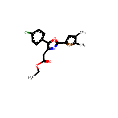 CCOC(=O)Cc1nc(-c2cc(C)c(C)s2)oc1-c1ccc(Cl)cc1